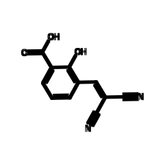 N#CC(C#N)=Cc1cccc(C(=O)O)c1O